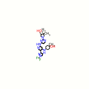 CC1(O)CCC(Nc2cc(Nc3ccnc(N4C[C@@H](CO)C(C)(C)C4)n3)ncc2-c2ccn(C(F)F)n2)CC1